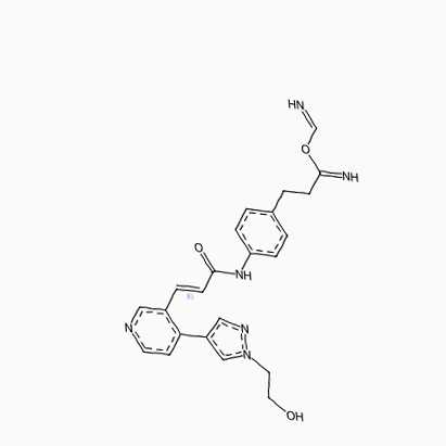 N=COC(=N)CCc1ccc(NC(=O)/C=C/c2cnccc2-c2cnn(CCO)c2)cc1